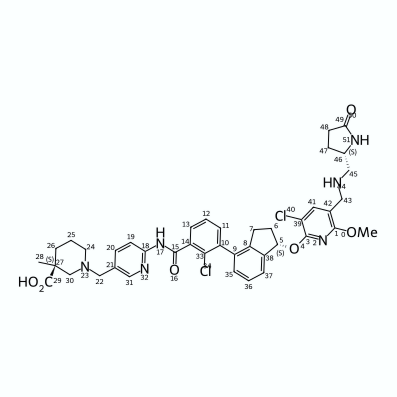 COc1nc(O[C@H]2CCc3c(-c4cccc(C(=O)Nc5ccc(CN6CCC[C@](C)(C(=O)O)C6)cn5)c4Cl)cccc32)c(Cl)cc1CNC[C@@H]1CCC(=O)N1